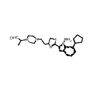 CC(C=O)N1CCN(CCC2CSC(c3cc4cccc(C5CCCC5)c4n3N)=N2)CC1